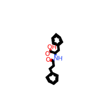 O=C(CCc1ccccc1)NC(Cc1ccccc1)C(=O)O